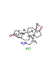 CCN.C[C@]12CCC(=O)C=C1CC[C@@H]1[C@@H]2CC[C@]2(C)C(=O)CC[C@@H]12.Cl